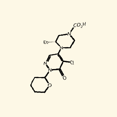 CC[C@@H]1CN(C(=O)O)CCN1c1cnn(C2CCCCO2)c(=O)c1Cl